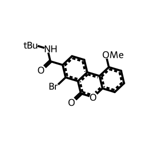 COc1cccc2oc(=O)c3c(Br)c(C(=O)NC(C)(C)C)ccc3c12